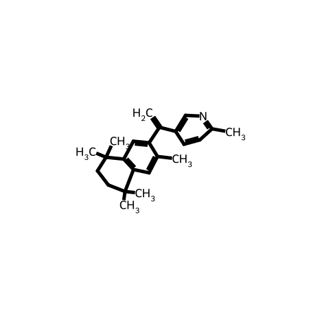 C=C(c1ccc(C)nc1)c1cc2c(cc1C)C(C)(C)CCC2(C)C